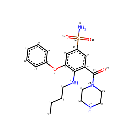 CCCCNc1c(Oc2ccccc2)cc(S(N)(=O)=O)cc1C(=O)N1CCNCC1